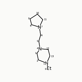 CCN1CCN(CCN2CCCC2)CC1